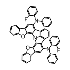 Fc1ccccc1N(c1ccccc1)c1cc2c3ccccc3oc2c2c1c1cccc3c4c(N(c5ccccc5)c5ccccc5F)cc5c6ccccc6oc5c4n2c13